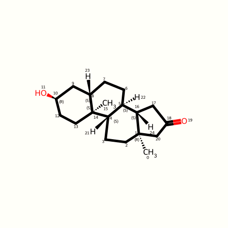 C[C@]12CC[C@H]3[C@@H](CC[C@H]4C[C@H](O)CC[C@@]43C)[C@@H]1CC(=O)C2